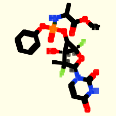 CC(C)OC(=O)C(C)NP(=O)(Oc1ccccc1)OC1[C@]2(O)[C@@](C)(F)[C@H](n3ccc(=O)[nH]c3=O)O[C@]12F